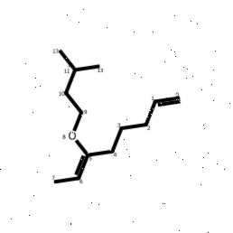 C=CCCC/C(=C/C)OCCC(C)C